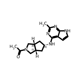 CC(=O)N1C[C@H]2C[C@@H](Nc3nc(C)nc4[nH]ccc34)C[C@H]2C1